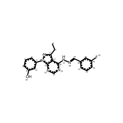 CCc1nn(-c2cccc(O)c2)c2ncnc(N/N=C/c3cccc(F)c3)c12